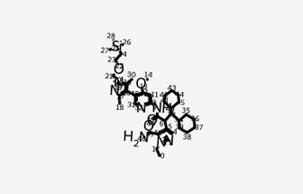 CCn1ncc(C(C(=O)Nc2cc(OC)c(-c3c(C)nn(COCC[Si](C)(C)C)c3C)cn2)C(C2CCCCC2)C2CCCCC2)c1C(N)=O